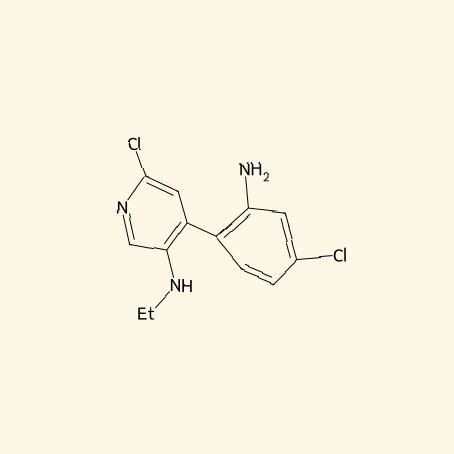 CCNc1cnc(Cl)cc1-c1ccc(Cl)cc1N